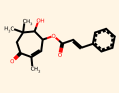 CC1=CC(OC(=O)/C=C/c2ccccc2)C(O)C(C)(C)CC1=O